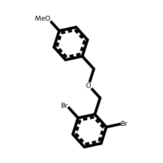 COc1ccc(COCc2c(Br)cccc2Br)cc1